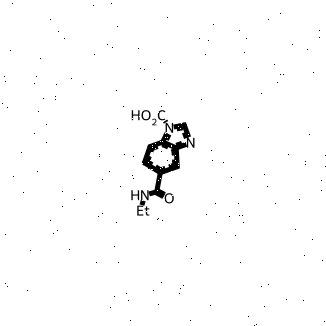 CCNC(=O)c1ccc2c(c1)ncn2C(=O)O